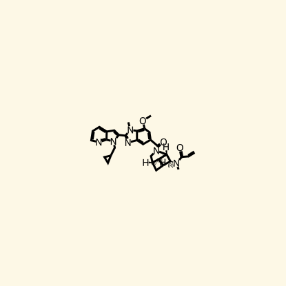 C=CC(=O)N(C)[C@@H]1C2C[C@@H]3CN(C(=O)c4cc(OC)c5c(c4)nc(-c4cc6cccnc6n4CC4CC4)n5C)[C@H]1[C@H]23